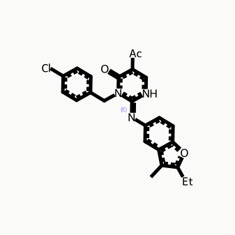 CCc1oc2ccc(/N=c3\[nH]cc(C(C)=O)c(=O)n3Cc3ccc(Cl)cc3)cc2c1C